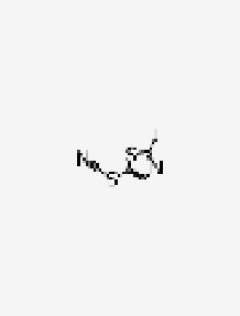 N#CSc1cnc(I)s1